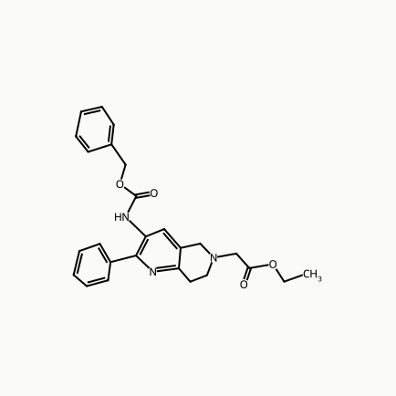 CCOC(=O)CN1CCc2nc(-c3ccccc3)c(NC(=O)OCc3ccccc3)cc2C1